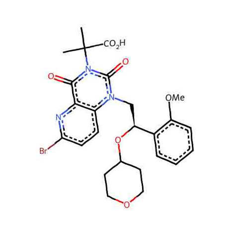 COc1ccccc1[C@H](Cn1c(=O)n(C(C)(C)C(=O)O)c(=O)c2nc(Br)ccc21)OC1CCOCC1